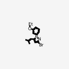 CCOc1cccc(-n2nc(Br)cc2C=C(C)C)c1